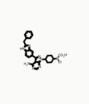 CCN(C(=O)O)C1CCC(n2nc(-c3ccc4[nH]c(Cc5ccccc5)nc4c3)c3c(N)ncnc32)CC1